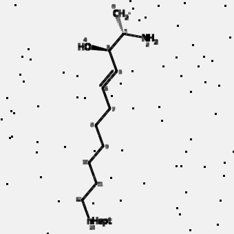 [CH2][C@H](N)[C@H](O)/C=C/CCCCCCCCCCCCC